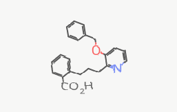 O=C(O)c1ccccc1CCCc1ncccc1OCc1ccccc1